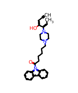 C#C/C=C(O)\C(=C/C)N1CCN(CCCCCC(=O)n2c3ccccc3c3ccccc32)CC1